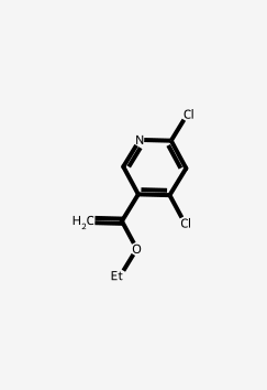 C=C(OCC)c1cnc(Cl)cc1Cl